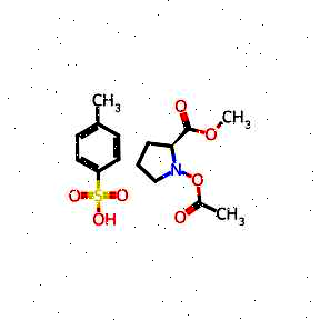 COC(=O)[C@@H]1CCCN1OC(C)=O.Cc1ccc(S(=O)(=O)O)cc1